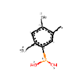 Cc1cc(P(O)O)c(C(C)(C)C)cc1C(C)(C)C